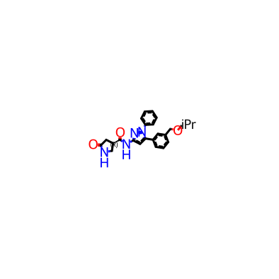 CC(C)OCc1cccc(-c2cc(NC(=O)[C@H]3CNC(=O)C3)nn2-c2ccccc2)c1